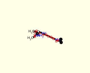 C=CCOC(=O)N[C@H]1CC(C(=O)OCC)=C[C@@H](OC(CC)CCNC(=O)CCOCCOCCOCCOCCNC(=O)OCC2c3ccccc3-c3ccccc32)C1N